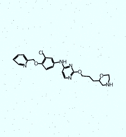 Clc1cc(Nc2ccnc(OCCCC3CNCCO3)n2)ccc1OCc1ccccn1